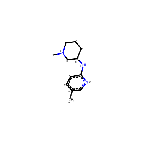 CN1CCC[C@@H](Nc2ccc(C(F)(F)F)cn2)C1